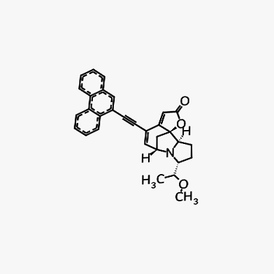 COC(C)[C@H]1CC[C@H]2N1[C@@H]1C=C(C#Cc3cc4ccccc4c4ccccc34)C3=CC(=O)O[C@@]32C1